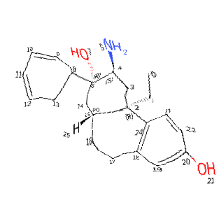 CC[C@@]12C[C@H](N)[C@](O)(C3C=CC=CC3)C[C@H]1CCc1cc(O)ccc12